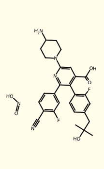 CC(C)(O)Cc1ccc(-c2c(C(=O)O)cc(N3CCC(N)CC3)nc2-c2ccc(C#N)c(F)c2)c(F)c1.O=NO